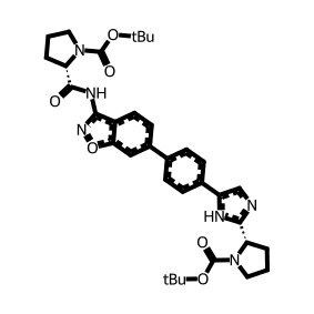 CC(C)(C)OC(=O)N1CCC[C@H]1C(=O)Nc1noc2cc(-c3ccc(-c4cnc([C@@H]5CCCN5C(=O)OC(C)(C)C)[nH]4)cc3)ccc12